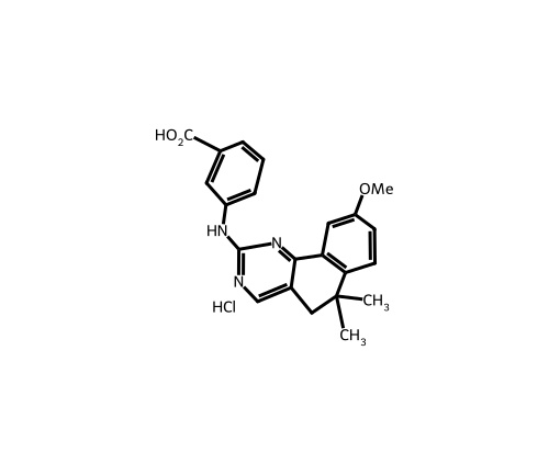 COc1ccc2c(c1)-c1nc(Nc3cccc(C(=O)O)c3)ncc1CC2(C)C.Cl